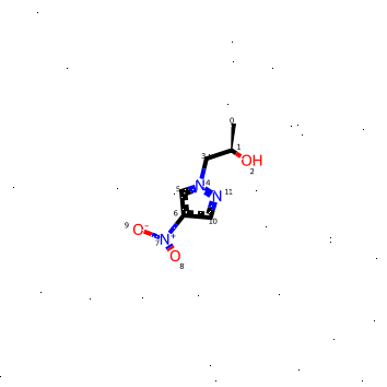 C[C@@H](O)Cn1cc([N+](=O)[O-])cn1